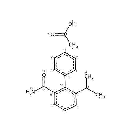 CC(=O)O.CC(C)c1cccc(C(N)=O)c1-c1ccccc1